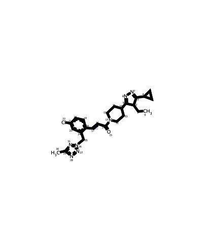 CCC1C(C2CC2)=NN=C1C1CCN(C(=O)/C=C/c2ccc(Cl)cc2Cn2nnc(C)n2)CC1